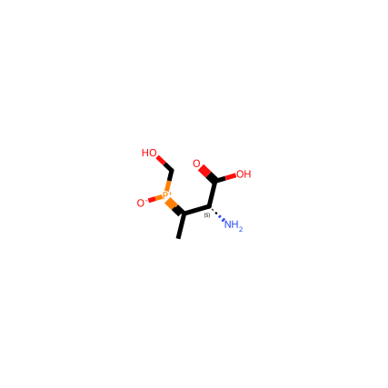 CC([C@@H](N)C(=O)O)=[P+]([O-])CO